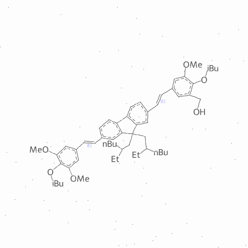 CCCCC(CC)CC1(CC(CC)CCCC)c2cc(/C=C/c3cc(CO)c(OC(C)CC)c(OC)c3)ccc2-c2ccc(/C=C/c3cc(OC)c(OC(C)CC)c(OC)c3)cc21